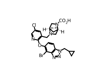 O=C(O)N1C[C@H]2C[C@@H]1CN2Cc1cc(Cl)cnc1Oc1ccc2c(nnn2CC2CC2)c1Br